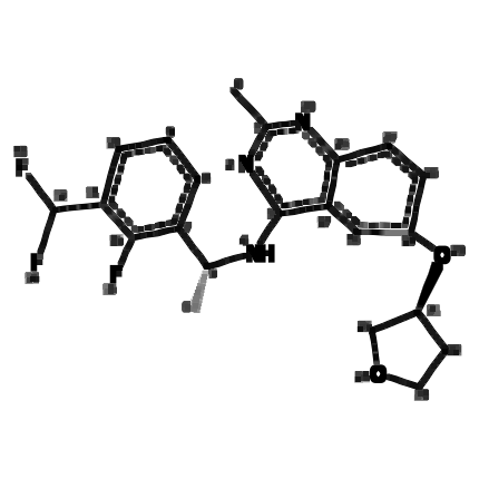 Cc1nc(N[C@H](C)c2cccc(C(F)F)c2F)c2cc(O[C@H]3CCOC3)ccc2n1